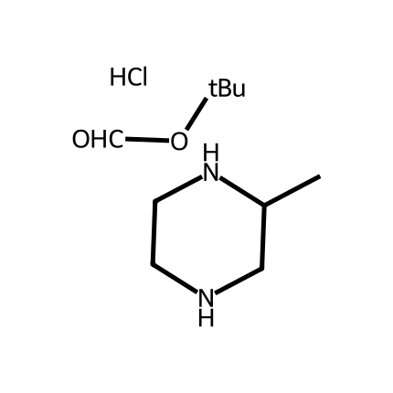 CC(C)(C)OC=O.CC1CNCCN1.Cl